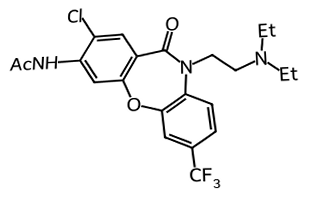 CCN(CC)CCN1C(=O)c2cc(Cl)c(NC(C)=O)cc2Oc2cc(C(F)(F)F)ccc21